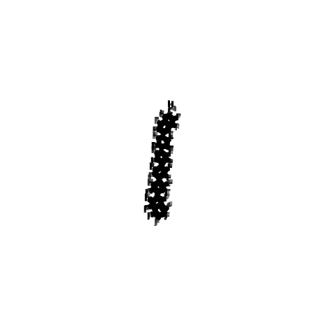 Cc1c(F)c(F)c2c(F)c(-c3c(F)c(F)c(-c4c(F)c(F)c(-c5c(F)c(F)c(-c6c(F)c(F)c(-c7c(F)c(F)c8c(F)c(F)c(F)c(F)c8c7F)c(F)c6F)c(F)c5F)c(F)c4F)c(F)c3F)c(F)c(F)c2c1F